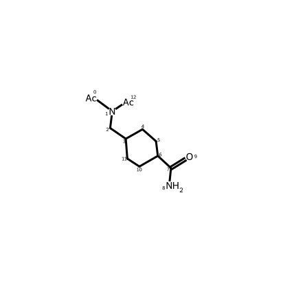 CC(=O)N(CC1CCC(C(N)=O)CC1)C(C)=O